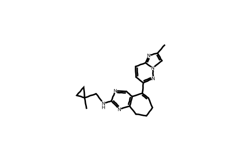 Cc1cn2nc(C3=CCCCc4nc(NCC5(C)CC5)ncc43)ccc2n1